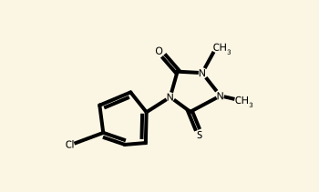 Cn1c(=O)n(-c2ccc(Cl)cc2)c(=S)n1C